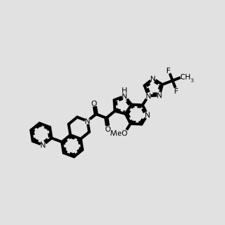 COc1cnc(-n2cnc(C(C)(F)F)n2)c2[nH]cc(C(=O)C(=O)N3CCc4c(cccc4-c4ccccn4)C3)c12